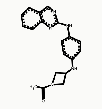 CC(=O)N1CC(Nc2ccc(Nc3ncc4ccccc4n3)cc2)C1